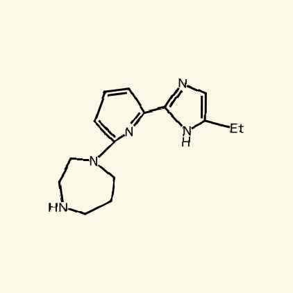 CCc1cnc(-c2cccc(N3CCCNCC3)n2)[nH]1